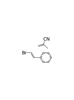 BrC=Cc1ccccc1.C=C(C)C#N